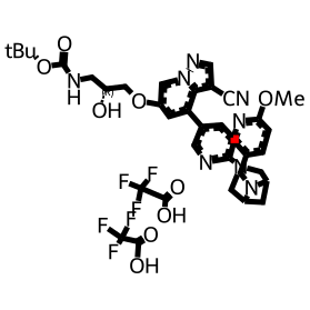 COc1ccc(CN2C3CC2CN(c2ccc(-c4cc(OC[C@H](O)CNC(=O)OC(C)(C)C)cn5ncc(C#N)c45)cn2)C3)cn1.O=C(O)C(F)(F)F.O=C(O)C(F)(F)F